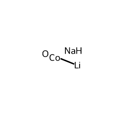 [Li][Co]=[O].[NaH]